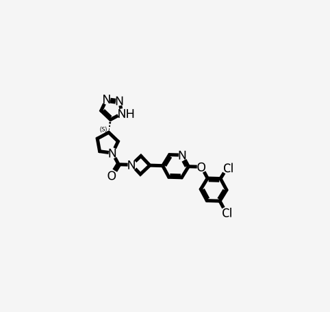 O=C(N1CC(c2ccc(Oc3ccc(Cl)cc3Cl)nc2)C1)N1CC[C@H](c2cnn[nH]2)C1